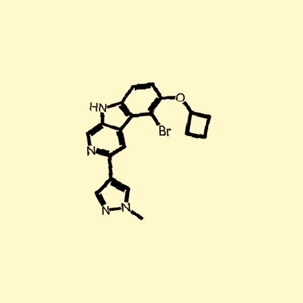 Cn1cc(-c2cc3c(cn2)[nH]c2ccc(OC4CCC4)c(Br)c23)cn1